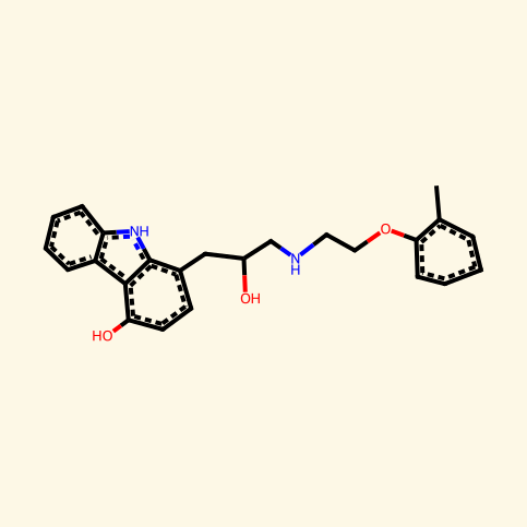 Cc1ccccc1OCCNCC(O)Cc1ccc(O)c2c1[nH]c1ccccc12